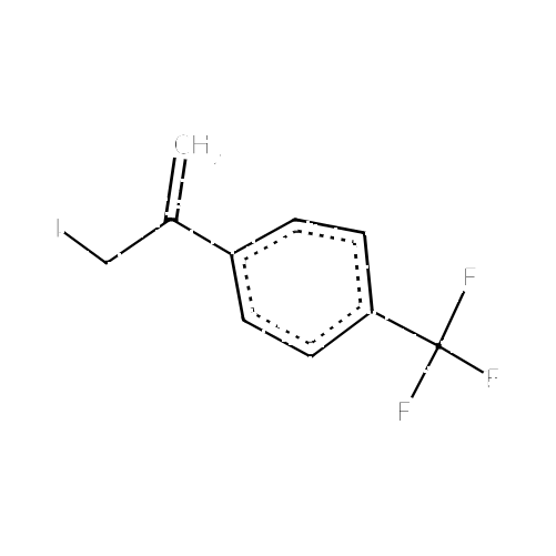 C=C(CI)c1ccc(C(F)(F)F)cc1